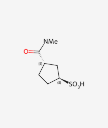 CNC(=O)[C@H]1CC[C@H](S(=O)(=O)O)C1